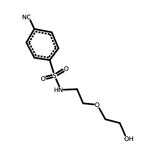 N#Cc1ccc(S(=O)(=O)NCCOCCO)cc1